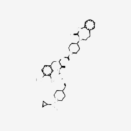 O=C(N=C=C=CC1CCN([S+]([O-])C2CC2)CC1)[C@@H](Cc1ccc(O)c(Br)c1)OC(=O)N1CCC(N2CCc3ccccc3NC2=O)CC1